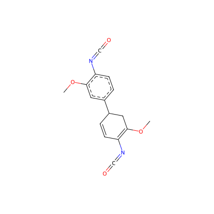 COC1=C(N=C=O)C=CC(c2ccc(N=C=O)c(OC)c2)C1